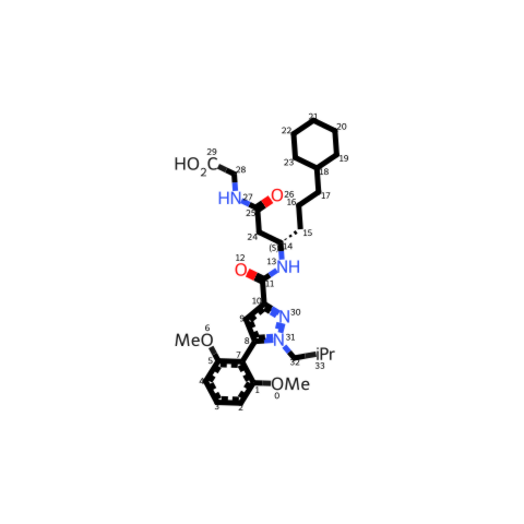 COc1cccc(OC)c1-c1cc(C(=O)N[C@@H](CCCC2CCCCC2)CC(=O)NCC(=O)O)nn1CC(C)C